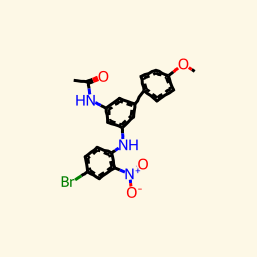 COc1ccc(-c2cc(NC(C)=O)cc(Nc3ccc(Br)cc3[N+](=O)[O-])c2)cc1